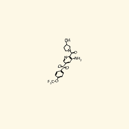 Nc1cc(S(=O)(=O)c2ccc(OC(F)(F)F)cc2)cnc1C(=O)N1CCC(O)C1